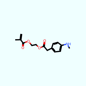 C=C(C)C(=O)OCCOC(=O)Cc1ccc(NC)cc1